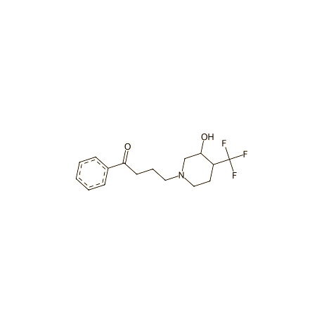 O=C(CCCN1CCC(C(F)(F)F)C(O)C1)c1ccccc1